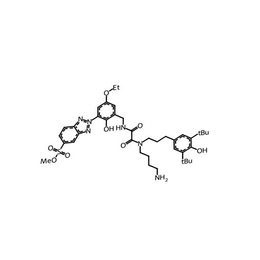 CCOc1cc(CNC(=O)C(=O)N(CCCCN)CCCc2cc(C(C)(C)C)c(O)c(C(C)(C)C)c2)c(O)c(-n2nc3ccc(S(=O)(=O)OC)cc3n2)c1